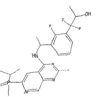 Cc1nc(NC(C)c2cccc(C(F)(F)C(C)O)c2F)c2cc(P(C)(=O)C(C)C)ncc2n1